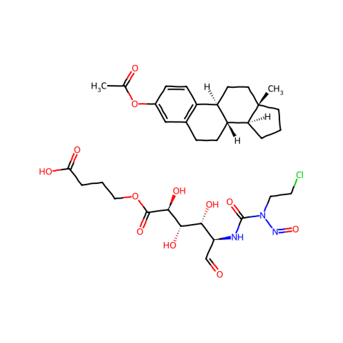 CC(=O)Oc1ccc2c(c1)CC[C@@H]1[C@@H]2CC[C@]2(C)CCC[C@@H]12.O=C[C@H](NC(=O)N(CCCl)N=O)[C@@H](O)[C@H](O)[C@H](O)C(=O)OCCCC(=O)O